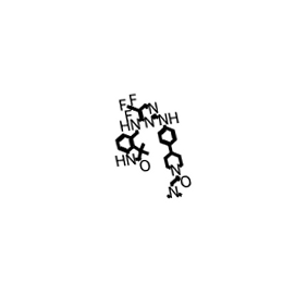 CN(C)CC(=O)N1CCC(c2ccc(Nc3ncc(C(F)(F)F)c(NCc4cccc5c4C(C)(C)C(=O)N5)n3)cc2)CC1